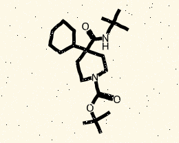 CC(C)(C)NC(=O)C1(C2CCCCC2)CCN(C(=O)OC(C)(C)C)CC1